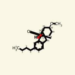 CCCCc1ccc2c(c1)C1(NC(=O)NC1=O)[C@]1(CC[C@H](OC)CC1)C2